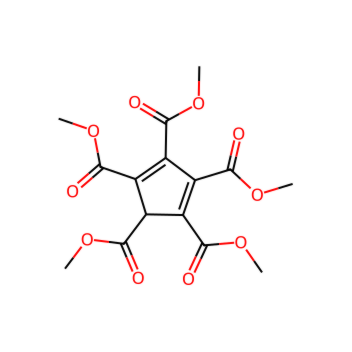 COC(=O)C1=C(C(=O)OC)C(C(=O)OC)C(C(=O)OC)=C1C(=O)OC